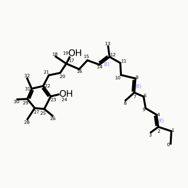 CC/C(C)=C/CC/C(C)=C/CC/C(C)=C/CCC(C)(O)CCC1=C(O)C(C)C(C)C(C)=C1C